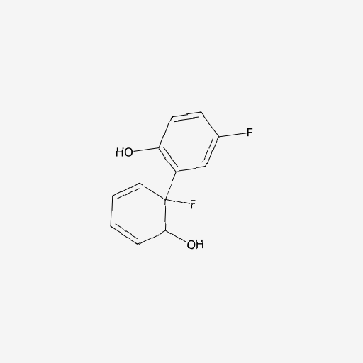 Oc1ccc(F)cc1C1(F)C=CC=CC1O